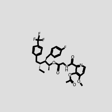 CC[C@H](Cc1ccc(C(F)(F)F)cc1)[C@@H](Cc1ccc(F)cc1)[C@H](C)OC(=O)CNC(=O)c1nccc(OC)c1OC(C)=O